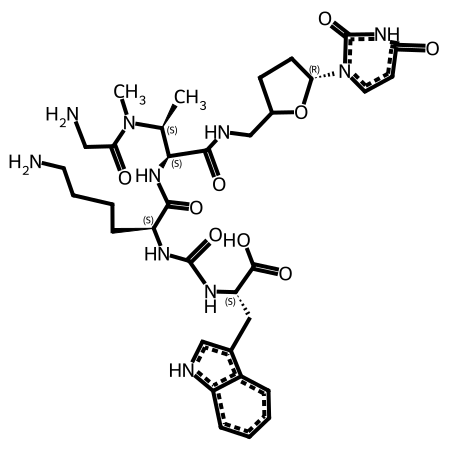 C[C@@H]([C@H](NC(=O)[C@H](CCCCN)NC(=O)N[C@@H](Cc1c[nH]c2ccccc12)C(=O)O)C(=O)NCC1CC[C@H](n2ccc(=O)[nH]c2=O)O1)N(C)C(=O)CN